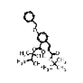 CC([SiH3])C(C)(C)OC(=O)c1cc(OCc2ccccc2)ccc1C=CC(=O)OC(C)(C)C